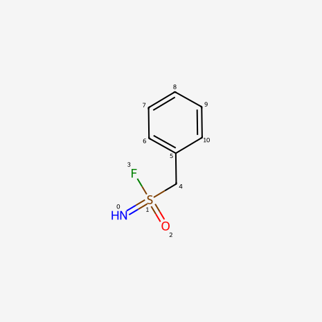 N=S(=O)(F)Cc1ccccc1